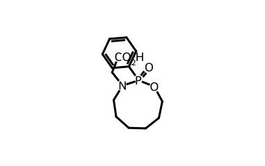 O=C(O)CN1CCCCCCOP1(=O)c1ccccc1